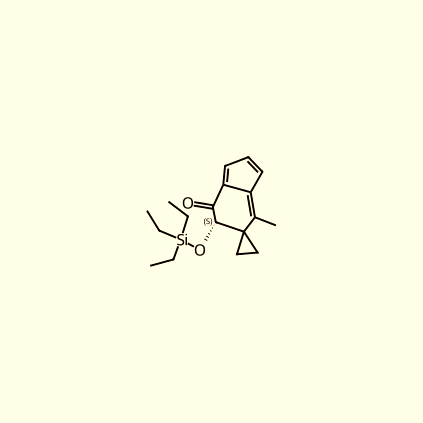 CC[Si](CC)(CC)O[C@@H]1C(=O)C2=CC=CC2=C(C)C12CC2